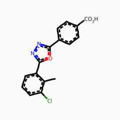 Cc1c(Cl)cccc1-c1nnc(-c2ccc(C(=O)O)cc2)o1